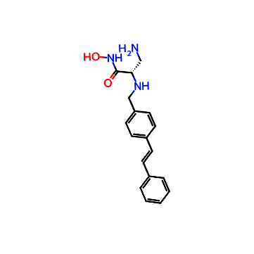 NC[C@H](NCc1ccc(C=Cc2ccccc2)cc1)C(=O)NO